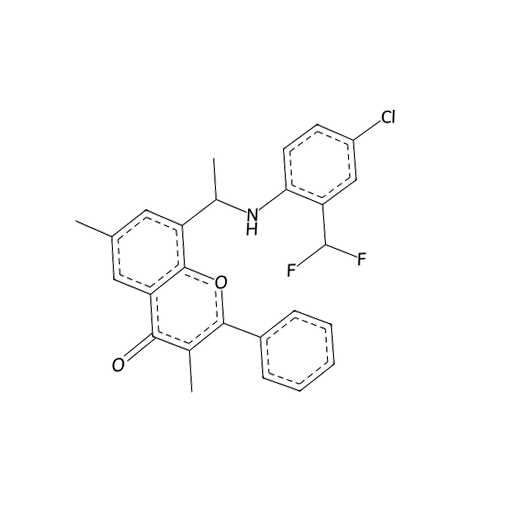 Cc1cc(C(C)Nc2ccc(Cl)cc2C(F)F)c2oc(-c3ccccc3)c(C)c(=O)c2c1